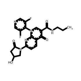 CCCNC(=O)c1cn(-c2c(F)cncc2F)c2nc(N3CC(O)CC3=O)ccc2c1=O